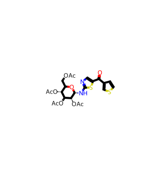 CC(=O)OCC1O[C@H](Nc2ncc(C(=O)c3ccsc3)s2)[C@H](OC(C)=O)C(OC(C)=O)[C@@H]1OC(C)=O